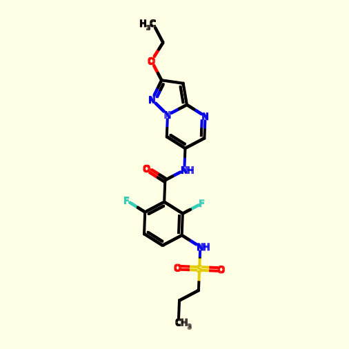 CCCS(=O)(=O)Nc1ccc(F)c(C(=O)Nc2cnc3cc(OCC)nn3c2)c1F